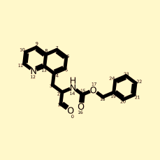 O=[C]C(Cc1cccc2cccnc12)NC(=O)OCc1ccccc1